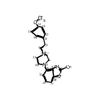 [O]c1nc2c(N3CCN(CCc4ccc(OC(F)(F)F)cc4)CC3)cccc2s1